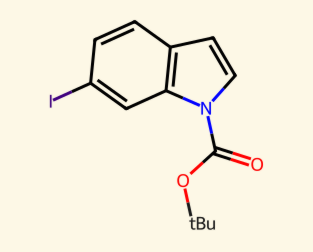 CC(C)(C)OC(=O)n1ccc2ccc(I)cc21